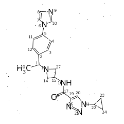 CC(c1ccc(-n2ccnc2)cc1)N1CC(NC(=O)c2cn(C3CC3)nn2)C1